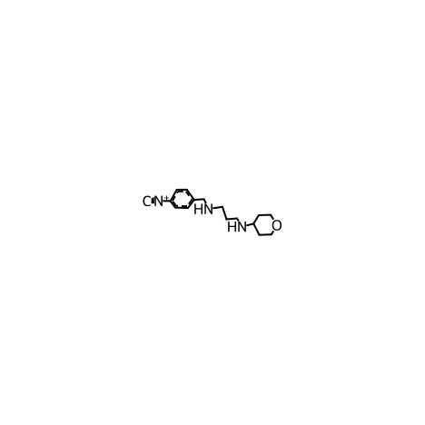 [C-]#[N+]c1ccc(CNCCCNC2CCOCC2)cc1